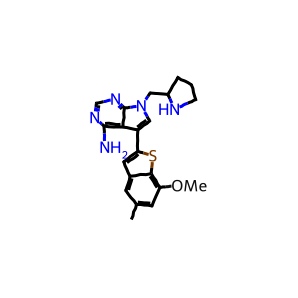 COc1cc(C)cc2cc(-c3cn(CC4CCCN4)c4ncnc(N)c34)sc12